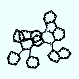 c1ccc(-c2c(-c3ccccc3)c3cc(N(c4cccc5ccccc45)c4cccc5c6ccccc6n(-c6ccc7ccccc7c6)c45)ccc3c3ccccc23)cc1